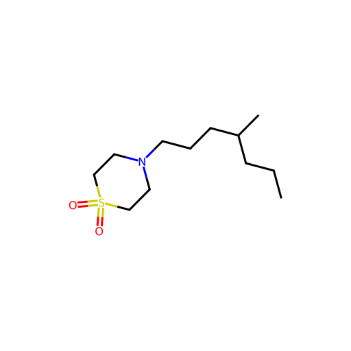 CCCC(C)CCCN1CCS(=O)(=O)CC1